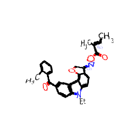 C/C=C(\C)C(=O)O/N=C1\COc2c1ccc1c2c2cc(C(=O)c3ccccc3C)ccc2n1CC